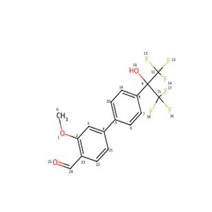 COc1cc(-c2ccc(C(O)(C(F)(F)F)C(F)(F)F)cc2)ccc1C=O